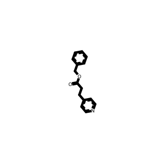 O=C(CCc1ccncc1)OCc1ccccc1